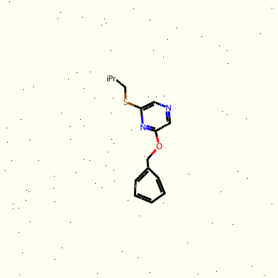 CC(C)CSc1cncc(OCc2ccccc2)n1